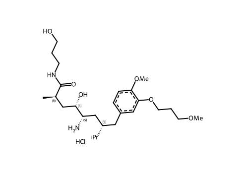 COCCCOc1cc(C[C@@H](C[C@H](N)[C@@H](O)C[C@@H](C)C(=O)NCCCO)C(C)C)ccc1OC.Cl